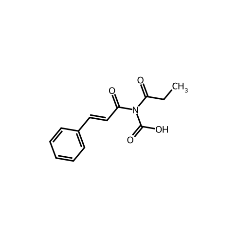 CCC(=O)N(C(=O)O)C(=O)/C=C/c1ccccc1